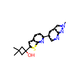 Cn1cc2cc(-c3ccc4cc(C5(O)CC(C)(C)C5)sc4n3)cnc2n1